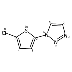 Clc1ccc(-n2c[c]nn2)s1